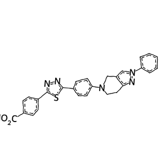 O=C(O)c1ccc(-c2nnc(-c3ccc(N4CCc5nn(-c6ccccc6)cc5C4)cc3)s2)cc1